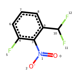 O=[N+]([O-])c1c(F)cccc1C(F)F